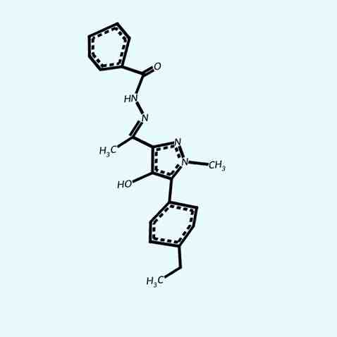 CCc1ccc(-c2c(O)c(/C(C)=N/NC(=O)c3ccccc3)nn2C)cc1